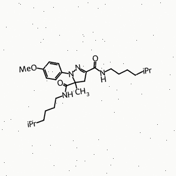 COc1ccc(N2N=C(C(=O)NCCCCC(C)C)CC2(C)C(=O)NCCCCC(C)C)cc1